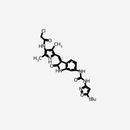 Cc1[nH]c(/C=C2\C(=O)Nc3cc(NC(=O)Nc4cc(C(C)(C)C)on4)ccc32)c(C)c1NC(=O)CCl